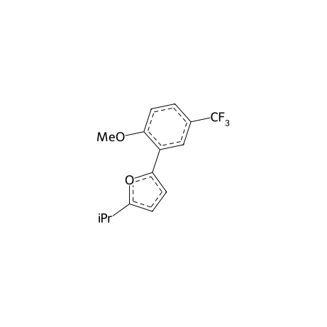 COc1ccc(C(F)(F)F)cc1-c1ccc(C(C)C)o1